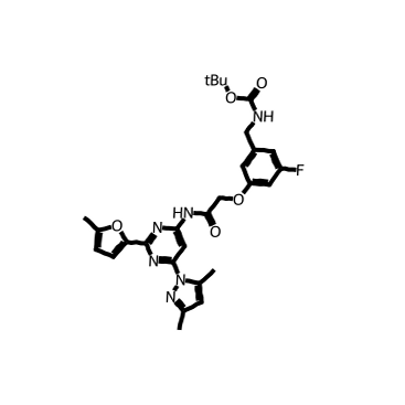 Cc1cc(C)n(-c2cc(NC(=O)COc3cc(F)cc(CNC(=O)OC(C)(C)C)c3)nc(-c3ccc(C)o3)n2)n1